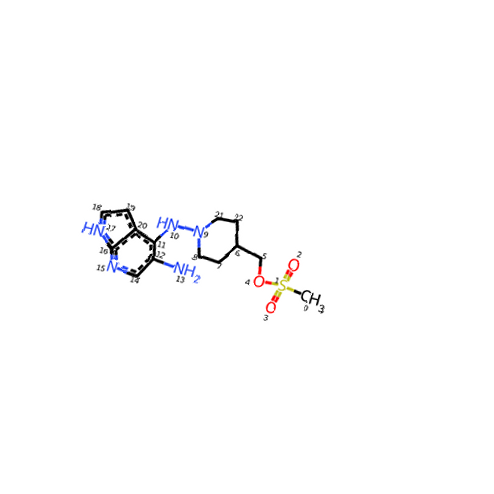 CS(=O)(=O)OCC1CCN(Nc2c(N)cnc3[nH]ccc23)CC1